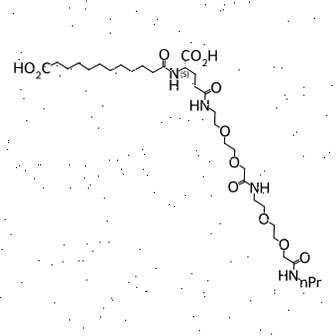 CCCNC(=O)COCCOCCNC(=O)COCCOCCNC(=O)CC[C@H](NC(=O)CCCCCCCCCCC(=O)O)C(=O)O